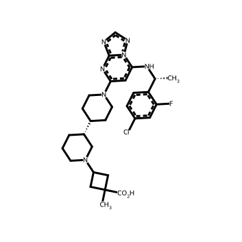 C[C@@H](Nc1cc(N2CCC([C@H]3CCCN(C4CC(C)(C(=O)O)C4)C3)CC2)nc2ncnn12)c1ccc(Cl)cc1F